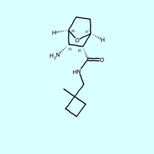 CC1(CNC(=O)[C@@H]2[C@H](N)[C@H]3CC[C@@H]2O3)CCC1